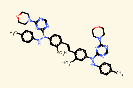 Cc1ccc(NN(c2ccc(C=Cc3ccc(N(Nc4ccc(C)cc4)c4ncnc(N5CCOCC5)n4)cc3S(=O)(=O)O)c(S(=O)(=O)O)c2)c2ncnc(N3CCOCC3)n2)cc1